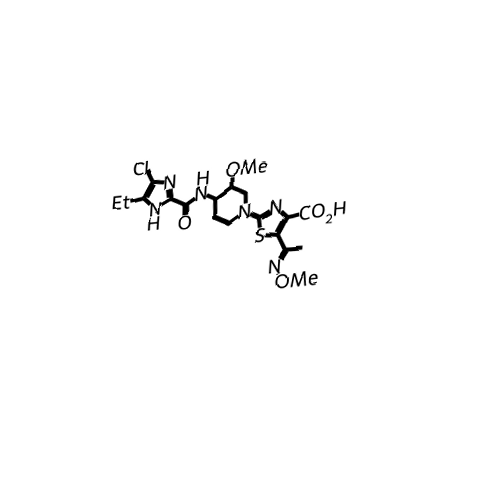 CCc1[nH]c(C(=O)NC2CCN(c3nc(C(=O)O)c(/C(C)=N/OC)s3)CC2OC)nc1Cl